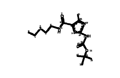 CCSCCNC(=O)c1sc(NC(=O)OC(C)(C)C)nc1C